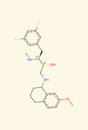 CN[C@@H](Cc1cc(F)cc(F)c1)[C@H](O)CNC1CCCc2ccc(OC)cc21